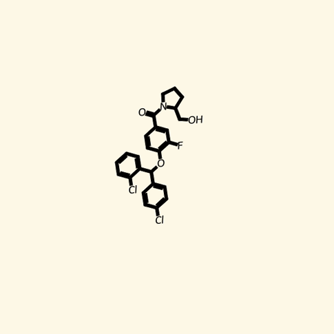 O=C(c1ccc(OC(c2ccc(Cl)cc2)c2ccccc2Cl)c(F)c1)N1CCCC1CO